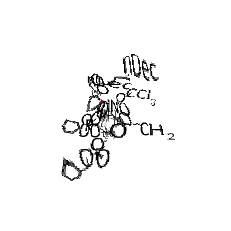 C=CCO[C@H]1O[C@H](COC(=O)OCc2ccccc2)[C@@H](OP(=O)(Oc2ccccc2)Oc2ccccc2)[C@H](OCC[C@H](CCCCCCCCCCC)OC(=O)CCCCCCCCCCCCC)[C@@H]1NC(=O)OCC(Cl)(Cl)Cl